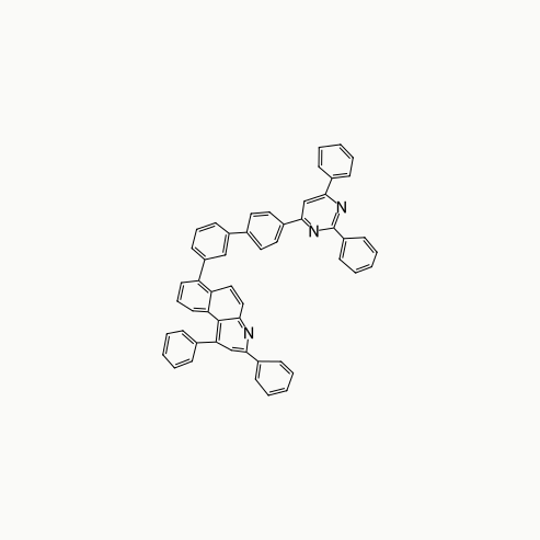 c1ccc(-c2cc(-c3ccc(-c4cccc(-c5cccc6c5ccc5nc(-c7ccccc7)cc(-c7ccccc7)c56)c4)cc3)nc(-c3ccccc3)n2)cc1